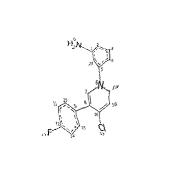 Nc1cccc(N2C=C(c3ccc(F)cc3)C(Cl)=CC2)c1